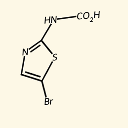 O=C(O)Nc1ncc(Br)s1